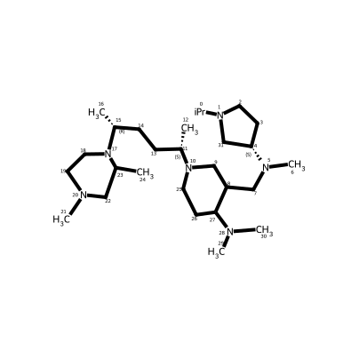 CC(C)N1CC[C@H](N(C)CC2CN([C@@H](C)CC[C@@H](C)N3CCN(C)CC3C)CCC2N(C)C)C1